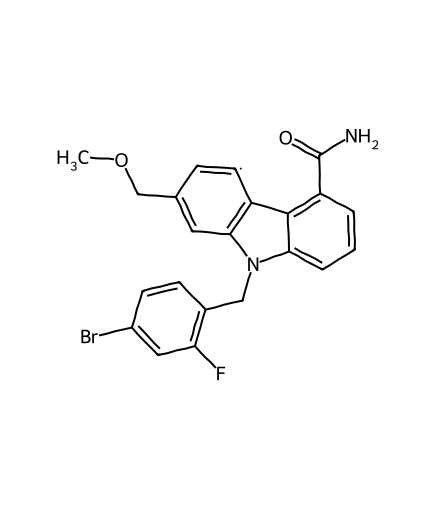 COCc1c[c]c2c3c(C(N)=O)cccc3n(Cc3ccc(Br)cc3F)c2c1